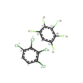 Clc1ccc(Cl)c(Cl)c1Cl.Fc1cc(F)c(F)c(F)c1F